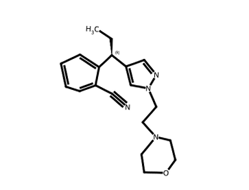 CC[C@@H](c1cnn(CCN2CCOCC2)c1)c1ccccc1C#N